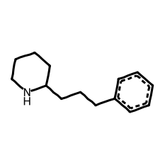 c1ccc(CCCC2CCCCN2)cc1